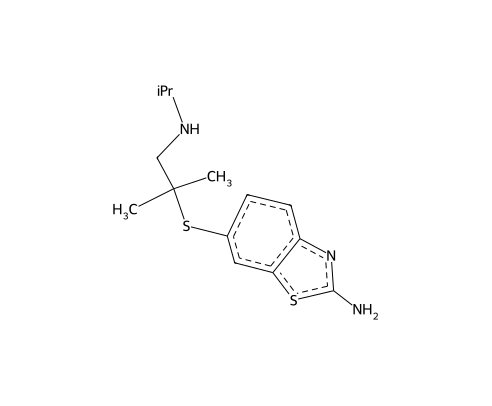 CC(C)NCC(C)(C)Sc1ccc2nc(N)sc2c1